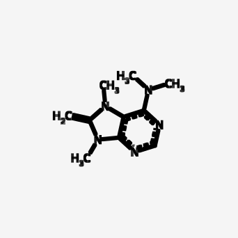 C=C1N(C)c2ncnc(N(C)C)c2N1C